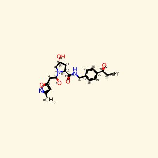 Cc1cc(CC(=O)N2C[C@H](O)C[C@H]2C(=O)NCc2ccc(C(=O)CC(C)C)cc2)on1